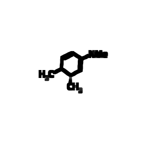 CNC1=C[C@H](C)C(C)C=C1